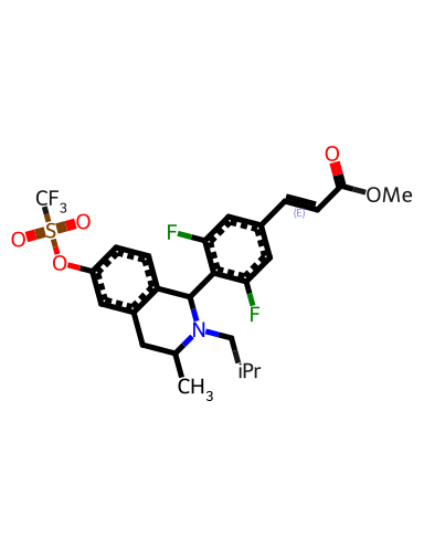 COC(=O)/C=C/c1cc(F)c(C2c3ccc(OS(=O)(=O)C(F)(F)F)cc3CC(C)N2CC(C)C)c(F)c1